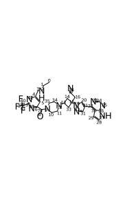 CCNCc1cc(C(=O)N2CCN(C3CC(CC#N)(n4cc(-c5ncnc6[nH]ccc56)cn4)C3)CC2)nc(C(F)(F)F)n1